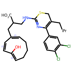 CC(C)CC1=C(c2ccc(Cl)c(Cl)c2)N=C(NCC(CC2=C/CCC/C=C(O)/C=C\2)C(=O)O)SC1